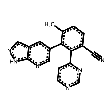 Cc1ccc(C#N)c(-c2ccncn2)c1-c1cnc2[nH]ncc2c1